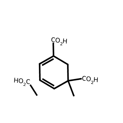 CC(=O)O.CC1(C(=O)O)C=CC=C(C(=O)O)C1